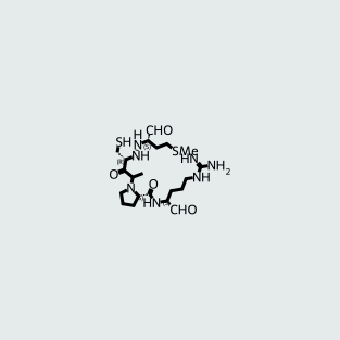 CSCC[C@@H](C=O)NN[C@@H](CS)C(=O)C(C)N1CCC[C@H]1C(=O)N[C@H](C=O)CCCNC(=N)N